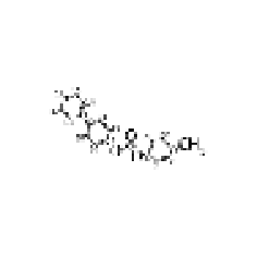 Cc1ccc(OC(=O)Oc2ccc(-c3ccccc3)cc2)cc1